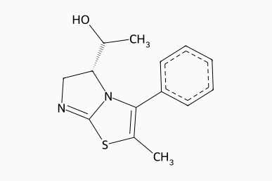 CC1=C(c2ccccc2)N2C(=NC[C@@H]2C(C)O)S1